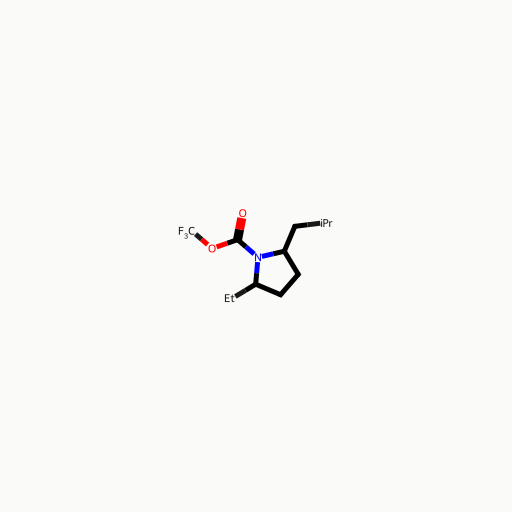 CCC1CCC(CC(C)C)N1C(=O)OC(F)(F)F